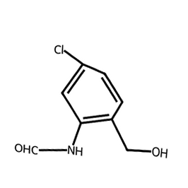 O=CNc1cc(Cl)ccc1CO